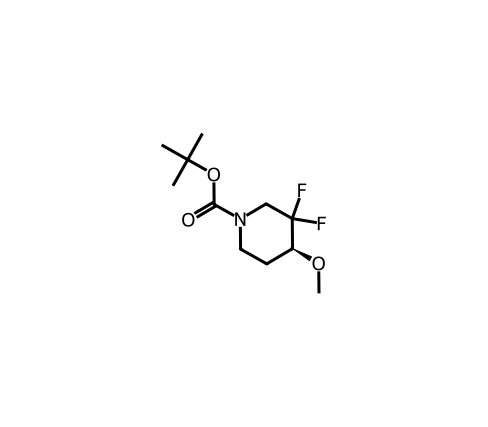 CO[C@H]1CCN(C(=O)OC(C)(C)C)CC1(F)F